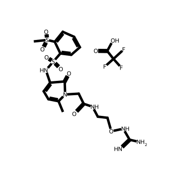 Cc1ccc(NS(=O)(=O)c2ccccc2S(C)(=O)=O)c(=O)n1CC(=O)NCCONC(=N)N.O=C(O)C(F)(F)F